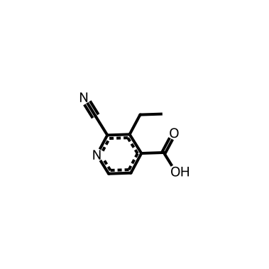 CCc1c(C(=O)O)ccnc1C#N